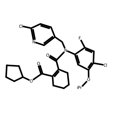 CC(C)Oc1cc(N(Cc2ccc(Cl)nc2)C(=O)C2=C(C(=O)OC3CCCC3)CCCC2)c(F)cc1Cl